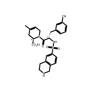 CCOC(=O)[C@H]1CC(C)=CCN1C(=O)[C@H](Cc1cccc(C#N)c1)NS(=O)(=O)c1ccc2c(c1)CCNC2